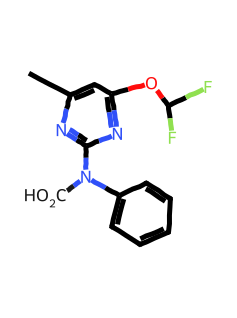 Cc1cc(OC(F)F)nc(N(C(=O)O)c2ccccc2)n1